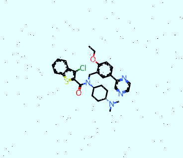 CCOc1ccc(-c2cnccn2)cc1CN(C(=O)c1sc2ccccc2c1Cl)[C@H]1CC[C@H](N(C)C)CC1